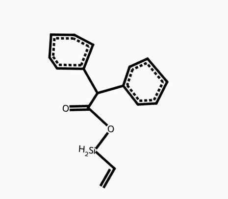 C=C[SiH2]OC(=O)C(c1ccccc1)c1ccccc1